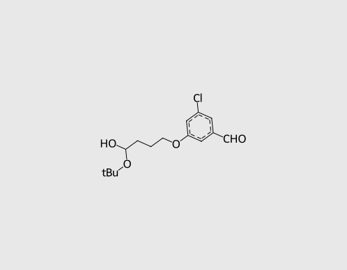 CC(C)(C)OC(O)CCCOc1cc(Cl)cc(C=O)c1